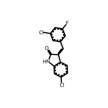 O=C1Nc2cc(Cl)ccc2/C1=C/c1cc(F)cc(Cl)c1